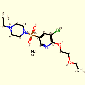 CCOCCOc1ncc(S(=O)(=O)N2CCN(CC)CC2)cc1Br.[Na]